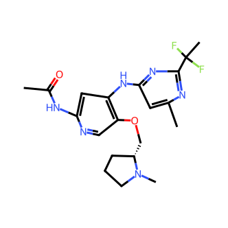 CC(=O)Nc1cc(Nc2cc(C)nc(C(C)(F)F)n2)c(OC[C@H]2CCCN2C)cn1